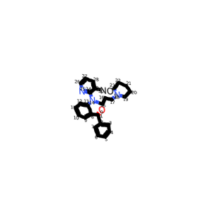 O=C(c1ccccc1)c1ccccc1N(CCCN1CCCCC1)c1ncccc1[N+](=O)[O-]